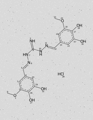 COc1cc(C=NNC(=N)NN=Cc2cc(O)c(O)c(OC)c2)cc(O)c1O.Cl